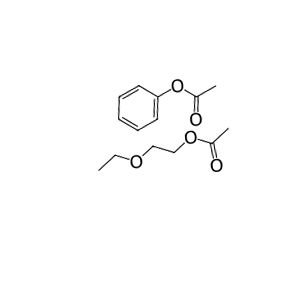 CC(=O)Oc1ccccc1.CCOCCOC(C)=O